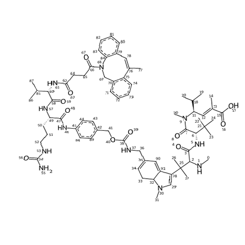 CNC(C(=O)N[C@H](C(=O)N(C)[C@H](/C=C(\C)C(=O)O)C(C)C)C(C)(C)C)C(C)(C)C1=CN(C)C2CC=C(CNC(=O)OCc3ccc(NC(=O)[C@H](CCCNC(N)=O)NC(=O)[C@@H](NC(=O)CCC(=O)N4Cc5ccccc5/C(C)=C\c5ccccc54)C(C)C)cc3)C=C12